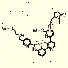 COCCNCc1ccc(C(=O)Nc2cccc(-c3nccc(-c4ccc(CNCC5CCC(=O)N5)c(OC)n4)c3Cl)c2Cl)nc1